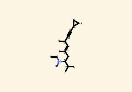 C=CN(C)C(C/C(C)=C/C(C)C#CC1CC1)C(C)C